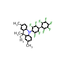 Cc1ccc2c(c1)C(C)(C)c1cc(C)ccc1N2c1c(F)c(F)c(-c2c(F)c(F)c(F)c(F)c2F)c(F)c1F